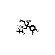 CN(CC(CC=O)(c1ccc(Cl)c(Cl)c1)N(CC(C)(C)C)C(=O)O)C(=O)C(F)(F)Cl